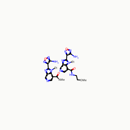 CCn1c(-c2nonc2N)nc2cncc(C(=O)NC)c21.CCn1c(-c2nonc2N)nc2cncc(C(=O)NCCOC)c21